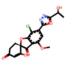 COc1cc(-c2nnc(C(C)O)o2)c(Cl)c2c1C(=O)[C@@]1(CCC(=O)C=C1O)O2